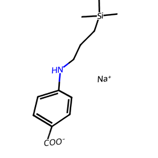 C[Si](C)(C)CCCNc1ccc(C(=O)[O-])cc1.[Na+]